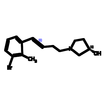 Cc1c(Br)cccc1/C=C/CCN1CC[C@H](O)C1